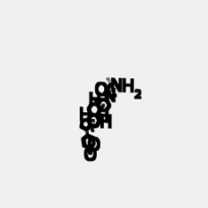 C[C@H](N)C(=O)N(C)[C@H]1CC[C@@]2(C)[C@H](CC[C@@H]3[C@@H]2CC[C@]2(C)[C@@H](c4ccc(=O)oc4)CC[C@]32O)C1